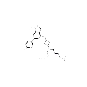 COCCN(C(=O)/C=C/CN(C)C)C1CC(Oc2cc(-c3ccc(O)cc3)cc3[nH]ncc23)C1